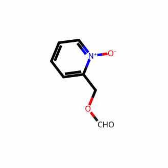 O=COCc1cccc[n+]1[O-]